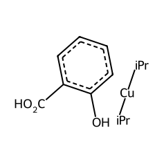 C[CH](C)[Cu][CH](C)C.O=C(O)c1ccccc1O